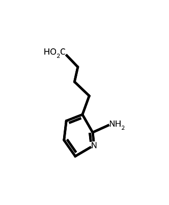 Nc1ncccc1CCCC(=O)O